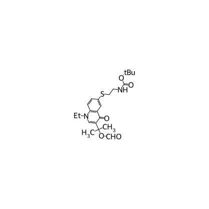 CCn1cc(C(C)(C)OC=O)c(=O)c2cc(SCCNC(=O)OC(C)(C)C)ccc21